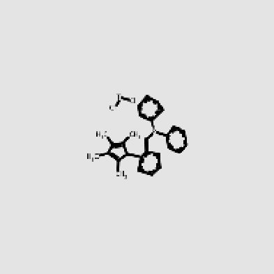 CC1=C(C)C(c2ccccc2CP(c2ccccc2)c2ccccc2)C(C)=C1C.[Cl][Ti][Cl]